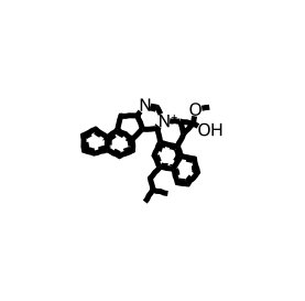 COC1(O)C2c3c(cc(CC(C)C)c4ccccc34)C3=[N+](C=NC4Cc5c(ccc6ccccc56)C34)C21